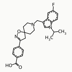 CC(C)n1cc(CN2CCC3(CC2)CC(c2ccc(C(=O)O)cc2)=NO3)c2cc(F)ccc21